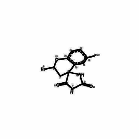 CCC1CC2(NC(=O)NC2=O)c2cc(F)ccc2O1